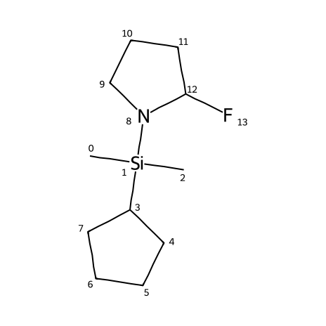 C[Si](C)(C1CCCC1)N1CCCC1F